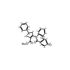 COC(=O)C1=C(N(C(=O)c2ccc(Cl)cc2Cl)c2ccccc2)CC(c2ccccc2)S1